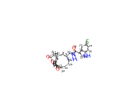 C=C1C(=O)O[C@H]2[C@H]1CC/C(CNC(=O)c1c[nH]c3ccc(F)cc13)=C\CC[C@@]1(C)O[C@@H]21